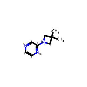 CC1(C)CN(c2cnccn2)C1